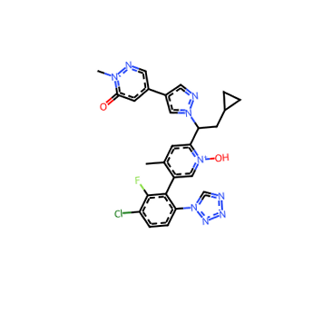 Cc1cc(C(CC2CC2)n2cc(-c3cnn(C)c(=O)c3)cn2)[n+](O)cc1-c1c(-n2cnnn2)ccc(Cl)c1F